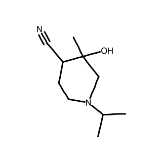 CC(C)N1CCC(C#N)C(C)(O)C1